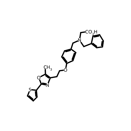 Cc1oc(-c2cccs2)nc1CCOc1ccc(CN(CC(=O)O)Cc2ccccc2)cc1